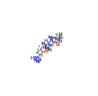 C[C@@H](c1ccc(-c2nnn[nH]2)cc1)N1C(=O)[C@@H]2C[C@H]1CN2CC(N)C(=O)N1C(C#N)C[C@@H]2C[C@@H]21